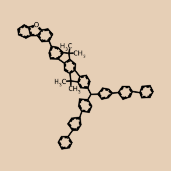 CC1(C)c2cc(-c3ccc4oc5ccccc5c4c3)ccc2-c2cc3c(cc21)-c1ccc(C(c2ccc(-c4ccc(-c5ccccc5)cc4)cc2)c2ccc(-c4ccc(-c5ccccc5)cc4)cc2)cc1C3(C)C